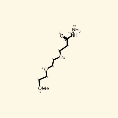 COCCOCCOCCC(=O)NN